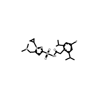 CC(C)c1cc(F)cc(C(C)C)c1CC(=O)NS(=O)(=O)c1cc(CN(C)C)n(C2CC2)n1